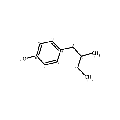 CCC(C)Cc1ccc([O])cc1